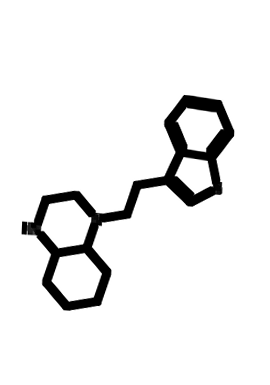 c1ccc2c(CCN3CCNC4CCCCC43)csc2c1